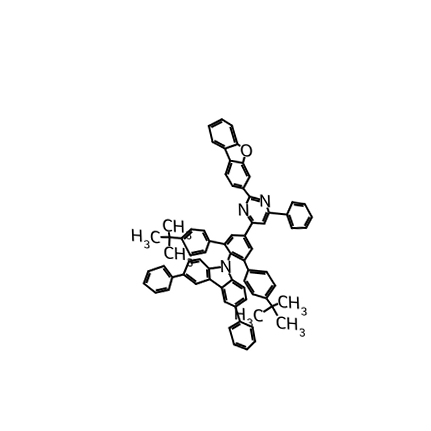 CC(C)(C)c1ccc(-c2cc(-c3cc(-c4ccccc4)nc(-c4ccc5c(c4)oc4ccccc45)n3)cc(-c3ccc(C(C)(C)C)cc3)c2-n2c3ccc(-c4ccccc4)cc3c3cc(-c4ccccc4)ccc32)cc1